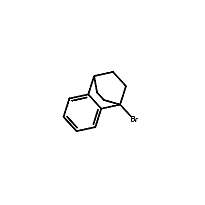 BrC12CCC(CC1)c1ccccc12